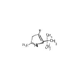 CC1=NC(C(C)(C)C)=C(F)C1